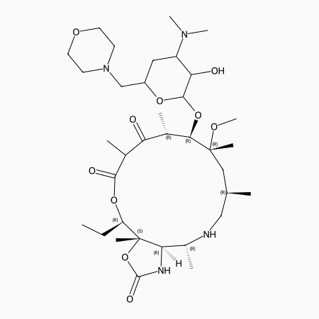 CC[C@H]1OC(=O)C(C)C(=O)[C@H](C)[C@@H](OC2OC(CN3CCOCC3)CC(N(C)C)C2O)[C@](C)(OC)C[C@@H](C)CN[C@H](C)[C@H]2NC(=O)O[C@@]21C